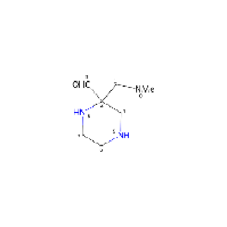 CNCC1(C=O)CNCCN1